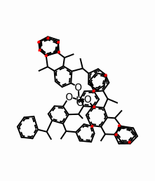 CC(c1ccccc1)c1ccc(OP(=O)(Oc2ccc(C(C)c3ccccc3)c(C(C)c3ccccc3)c2C(C)c2ccccc2)Oc2ccc(C(C)c3ccccc3)c(C(C)c3ccccc3)c2C(C)c2ccccc2)c(C(C)c2ccccc2)c1C(C)c1ccccc1